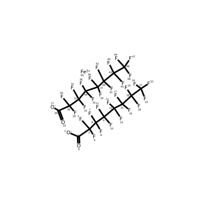 O=C([O-])C(F)(F)C(F)(F)C(F)(F)C(F)(F)C(F)(F)C(F)(F)C(F)(F)F.O=C([O-])C(F)(F)C(F)(F)C(F)(F)C(F)(F)C(F)(F)C(F)(F)C(F)(F)F.[Fe+2]